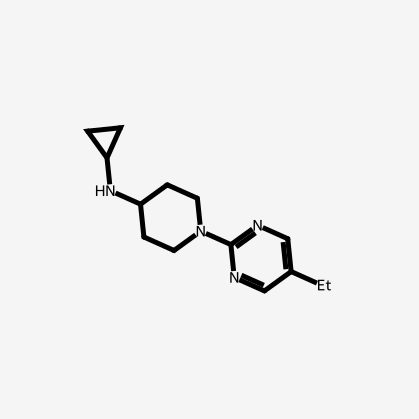 CCc1cnc(N2CCC(NC3CC3)CC2)nc1